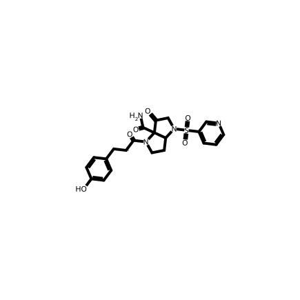 NC(=O)C12C(=O)CN(S(=O)(=O)c3cccnc3)C1CCN2C(=O)[CH]Cc1ccc(O)cc1